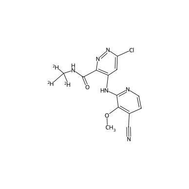 [2H]C([2H])([2H])NC(=O)c1nnc(Cl)cc1Nc1nccc(C#N)c1OC